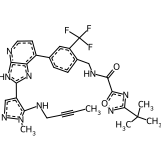 CC#CCNc1c(-c2nc3c(-c4ccc(CNC(=O)c5nc(C(C)(C)C)no5)c(C(F)(F)F)c4)ccnc3[nH]2)cnn1C